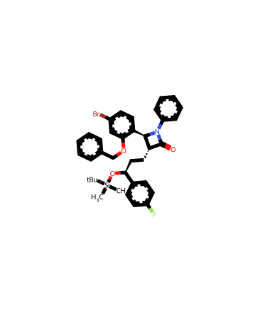 CC(C)(C)[Si](C)(C)O[C@@H](CC[C@H]1C(=O)N(c2ccccc2)[C@@H]1c1ccc(Br)cc1OCc1ccccc1)c1ccc(F)cc1